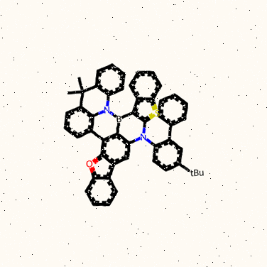 CC(C)(C)c1ccc(N2c3cc4c(oc5ccccc54)c4c3B(c3c2sc2ccccc32)N2c3ccccc3C(C)(C)c3cccc-4c32)c(-c2ccccc2)c1